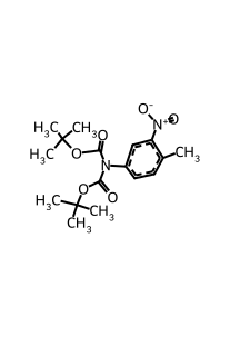 Cc1ccc(N(C(=O)OC(C)(C)C)C(=O)OC(C)(C)C)cc1[N+](=O)[O-]